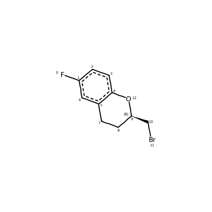 Fc1ccc2c(c1)CC[C@H](CBr)O2